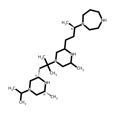 CC1CN(C(C)(C)C[C@H]2CN(C(C)C)C[C@@H](C)N2)CC(CC[C@@H](C)N2CCCNCC2)N1